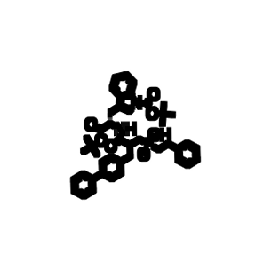 CC(C)(C)OC(=O)[C@H](Cc1cn(C(=O)OC(C)(C)C)c2ccccc12)NC(=O)C(Cc1ccc(-c2ccccc2)cc1)CP(=O)(O)CCc1ccccc1